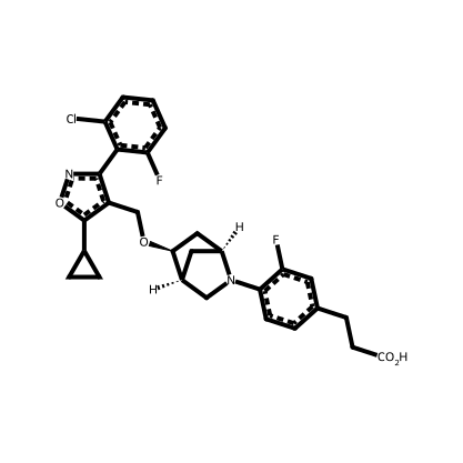 O=C(O)CCc1ccc(N2C[C@@H]3C[C@H]2C[C@@H]3OCc2c(-c3c(F)cccc3Cl)noc2C2CC2)c(F)c1